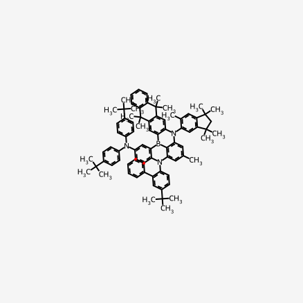 Cc1cc2c3c(c1)N(c1ccc(C(C)(C)C)cc1-c1ccccc1)c1ccc(N(c4ccc(C(C)(C)C)cc4)c4ccc(C(C)(C)C)cc4)cc1B3c1cc3c(cc1N2c1cc2c(cc1C)C(C)(C)CC2(C)C)C(C)(C)c1ccccc1C3(C)C